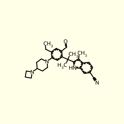 CCc1cc(C=O)c(C(C)(C)c2[nH]c3cc(C#N)ccc3c2C)cc1N1CCC(N2CCC2)CC1